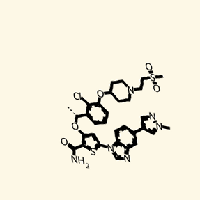 C[C@@H](Oc1cc(-n2cnc3cc(-c4cnn(C)c4)ccc32)sc1C(N)=O)c1cccc(OC2CCN(CCS(C)(=O)=O)CC2)c1Cl